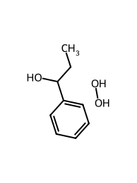 CCC(O)c1ccccc1.OO